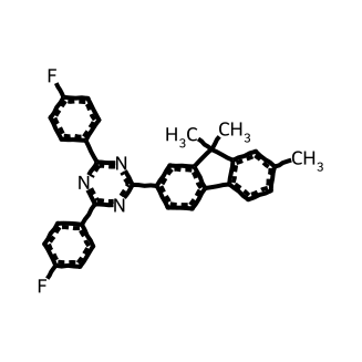 Cc1ccc2c(c1)C(C)(C)c1cc(-c3nc(-c4ccc(F)cc4)nc(-c4ccc(F)cc4)n3)ccc1-2